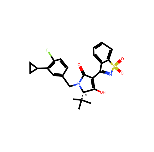 CC(C)(C)[C@H]1C(O)=C(C2=NS(=O)(=O)c3ccccc32)C(=O)N1Cc1ccc(F)c(C2CC2)c1